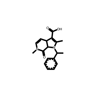 CC1=C(C(=O)O)C2C=CN(C)C(=O)C2N1C(C)c1ccccc1